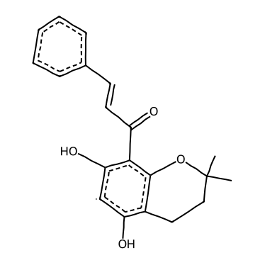 CC1(C)CCc2c(O)[c]c(O)c(C(=O)C=Cc3ccccc3)c2O1